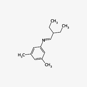 CCC(C=Nc1cc(C)cc(C)c1)CC